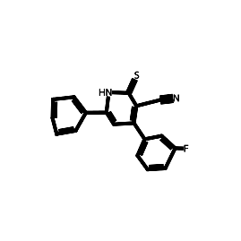 N#Cc1c(-c2cccc(F)c2)cc(-c2ccccc2)[nH]c1=S